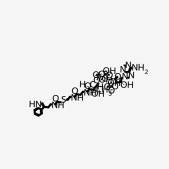 CC(C)(COP(=O)(O)OP(=O)(O)OC[C@H]1O[C@@H](n2cnc3c(N)ncnc32)[C@H](O)[C@@H]1OP(=O)(O)O)[C@@H](O)C(=O)NCCC(=O)NCCSCC(=O)NCCc1c[nH]c2ccccc12